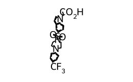 O=C(O)Cn1ccc2cc(S(=O)(=O)N3CCN(c4ccc(C(F)(F)F)cc4)CC3)ccc21